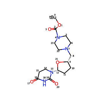 CC(C)(C)OC(=O)N1CCN(C[C@@H]2CC[C@H](N3CCC(=O)NC3=O)O2)CC1